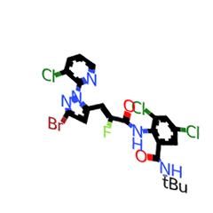 CC(C)(C)NC(=O)c1cc(Cl)cc(Cl)c1NC(=O)C(F)=Cc1cc(Br)nn1-c1ncccc1Cl